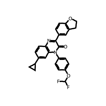 O=c1c(-c2ccc3c(c2)CCO3)nc2ccc(C3CC3)cc2n1-c1ccc(OC(F)F)cc1